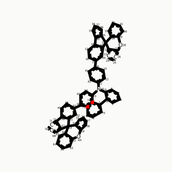 c1ccc(-c2ccccc2N(c2ccc(-c3ccc4c(c3)C3(c5ccccc5Oc5ccccc53)c3ccccc3-4)cc2)c2ccc(-c3ccc4c(c3)C3(c5ccccc5Oc5ccccc53)c3ccccc3-4)cc2)cc1